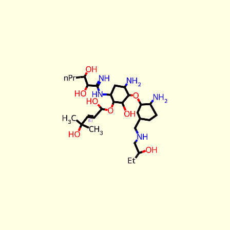 CCCC(O)C(O)C(=N)NC1CC(N)C(OC2CC(CNCC(O)CC)CCC2N)C(O)C1OC(O)/C=C/C(C)(C)O